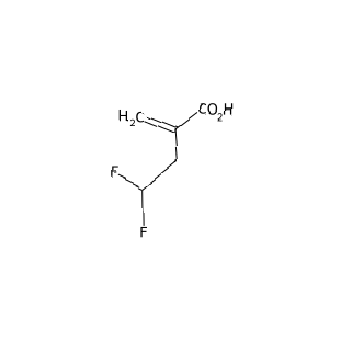 C=C(CC(F)F)C(=O)O